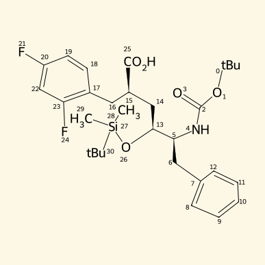 CC(C)(C)OC(=O)N[C@@H](Cc1ccccc1)[C@H](C[C@@H](Cc1ccc(F)cc1F)C(=O)O)O[Si](C)(C)C(C)(C)C